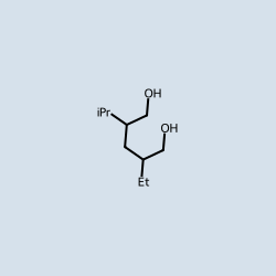 CCC(CO)CC(CO)C(C)C